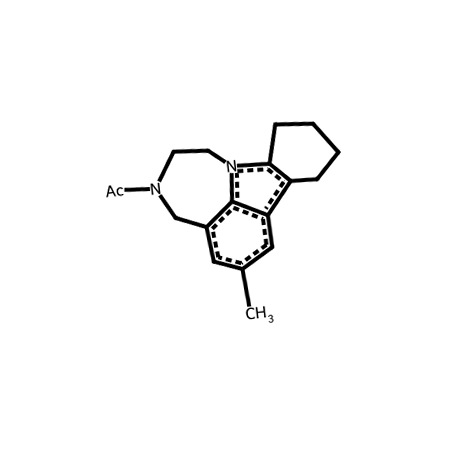 CC(=O)N1CCn2c3c(c4cc(C)cc(c42)C1)CCCC3